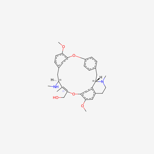 CN[C@H]1Cc2ccc(OC)c(c2)Oc2ccc(cc2)C[C@H]2c3cc(c(OC)cc3CCN2C)O/C(CO)=C\1C